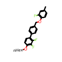 CCCCCCOc1ccc(-c2ccc(COc3ccc(C)cc3F)cc2)c(F)c1F